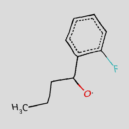 CCCC([O])c1ccccc1F